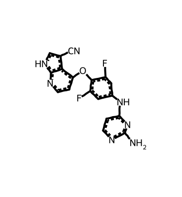 N#Cc1c[nH]c2nccc(Oc3c(F)cc(Nc4ccnc(N)n4)cc3F)c12